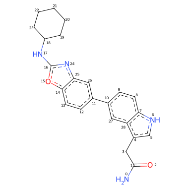 NC(=O)Cc1c[nH]c2ccc(-c3ccc4oc(NC5CCCCC5)nc4c3)cc12